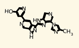 Cc1cn(-c2cncc3[nH]c(-c4n[nH]c5cnc(-c6cncc(O)c6)cc45)nc23)cn1